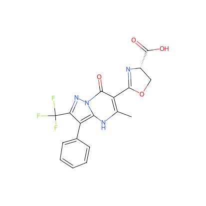 Cc1[nH]c2c(-c3ccccc3)c(C(F)(F)F)nn2c(=O)c1C1=N[C@H](C(=O)O)CO1